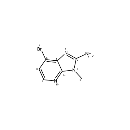 Cn1c(N)nc2c(Br)ccnc21